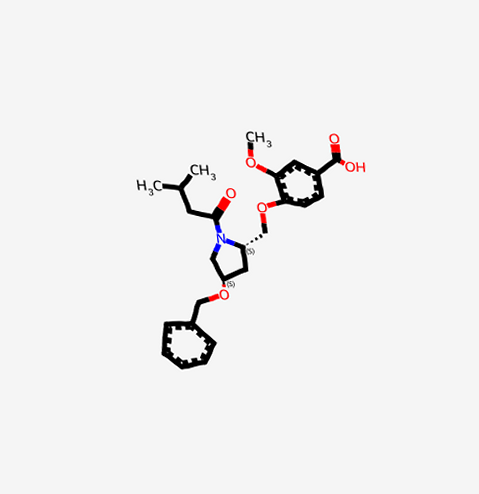 COc1cc(C(=O)O)ccc1OC[C@@H]1C[C@H](OCc2ccccc2)CN1C(=O)CC(C)C